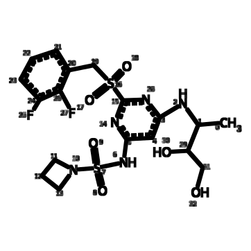 CC(Nc1cc(NS(=O)(=O)N2CCC2)nc(S(=O)(=O)Cc2cccc(F)c2F)n1)C(O)CO